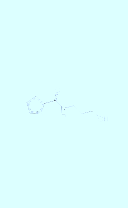 O=C(NCCCO)c1cccs1